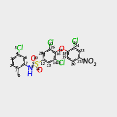 Cc1ccc(Cl)cc1NS(=O)(=O)c1cc(Cl)c(Oc2ccc([N+](=O)[O-])cc2Cl)c(Cl)c1